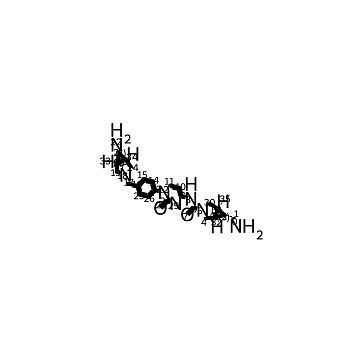 NC[C@@H]1[C@H]2CN(C(=O)Nc3ccn(-c4ccc(CN5C[C@@H]6[C@@H](N)[C@@H]6C5)cc4)c(=O)n3)C[C@@H]12